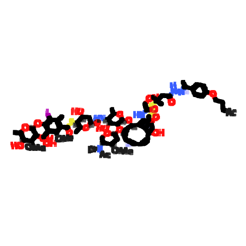 CCN(C(C)=O)[C@H]1CO[C@@H](OC2[C@H](O[C@H]3C#C/C=C\C#CC4(O)CC(=O)C(NC(=O)CO)=C3/C4=C\CSSC(C)(C)CC(=O)N/N=C(\C)c3ccc(OCCCC(C)=O)cc3)OC(C)[C@@H](NO[C@H]3C[C@@H](O)[C@H](SC(=O)c4c(C)c(I)c(O[C@@H]5OC(C)[C@H](O)[C@H](OC)C5O)c(CO)c4OC)C(C)O3)[C@H]2O)C[C@H]1OC